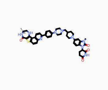 C[C@@H]1CNc2c(sc3ccc4nc(-c5ccc(N6CCN(CC7CCN(c8ccc9c(c8)n(C)c(=O)n9C8CCC(=O)NC8=O)CC7)CC6)cc5)ccc4c23)C(=O)N1